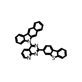 c1ccc2cc3c(cc2c1)c1ccccc1n3-c1nc(-c2ccc3c(c2)sc2ccccc23)nc2ncccc12